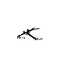 CCCCCC/C=C\CCCCCCCC(=O)OC[C@H](COC(=O)CCCCCCCCCCCCCCC)OC(=O)CCCCCCCCCCCCCCCCCCCCC